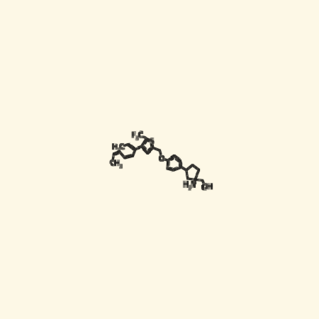 C\C=C/C=C\C(=C/C)c1cc(COc2ccc(C3CCC(N)(CO)C3)cc2)sc1C(F)(F)F